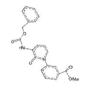 COC(=O)c1cccc(-n2cccc(NC(=O)OCc3ccccc3)c2=O)c1